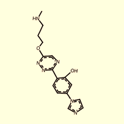 CNCCCOc1cnc(-c2ccc(-n3ccnc3)cc2O)nn1